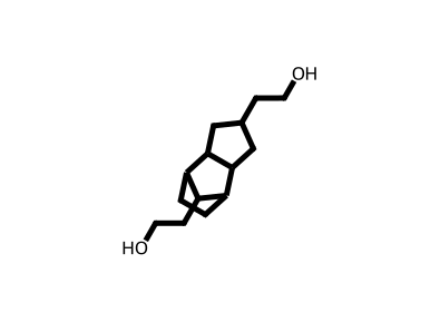 OCCC1CC2C3CCC(C3CCO)C2C1